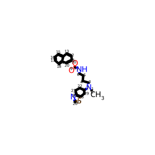 CCN(CCCCNC(=O)Oc1ccc2ccccc2c1)C1CCc2ncsc2C1